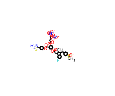 CC1=C(CC(=O)Oc2ccc(OC(=O)CC(CO[N+](=O)[O-])O[N+](=O)[O-])c(C(=O)Oc3ccc(C(N)=S)cc3)c2)c2cc(F)ccc2/C1=C\c1ccc([S+](C)[O-])cc1